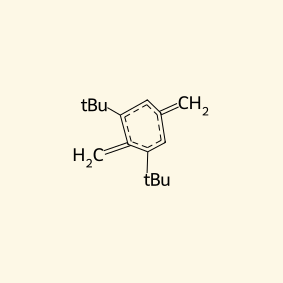 C=c1cc(C(C)(C)C)c(=C)c(C(C)(C)C)c1